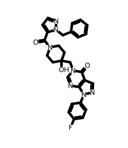 O=C(c1ccnn1Cc1ccccc1)N1CCC(O)(Cn2cnc3c(cnn3-c3ccc(F)cc3)c2=O)CC1